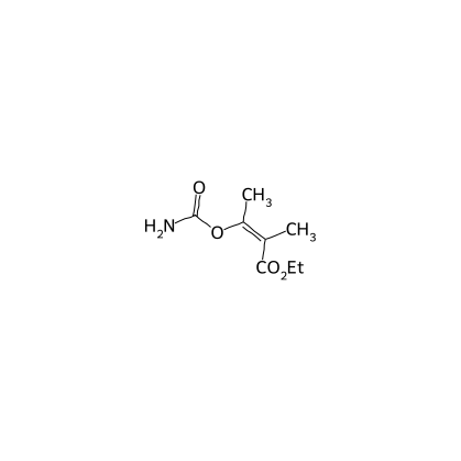 CCOC(=O)C(C)=C(C)OC(N)=O